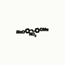 COc1ccc(C=Cc2ccc(OC)cc2[N+](=O)[O-])cc1